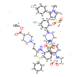 CCCCOC(=O)C1CCN(CC[C@H](CSc2ccccc2)Nc2ccc([P@]3(=O)OCCN3c3ccc(N4CCN(c5cc(F)cc(-c6c(S(C)(=O)=O)c(C)n(C(C)C)c6-c6ccc(Cl)cc6)c5)CC4)cc3)cc2S(=O)(=O)C(F)(F)F)CC1